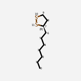 CCCCCCC[C@@H]1CCSS1